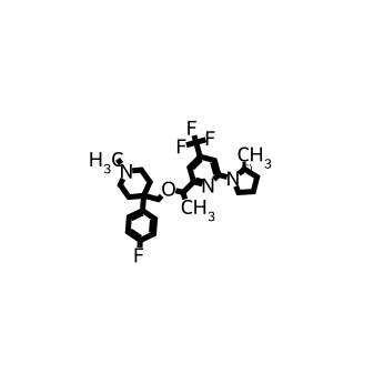 CC(OCC1(c2ccc(F)cc2)CCN(C)CC1)c1cc(C(F)(F)F)cc(N2CCC[C@@H]2C)n1